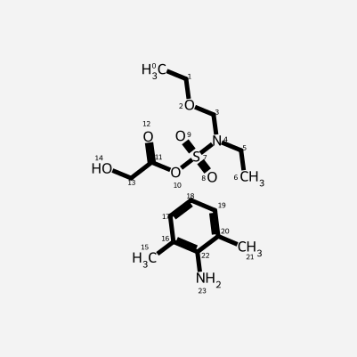 CCOCN(CC)S(=O)(=O)OC(=O)CO.Cc1cccc(C)c1N